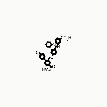 CNC(=O)c1ccc(-c2ccc(Cl)cc2)c(COc2ccc(-c3nc4cc(C(=O)O)ccc4n3C3CCCCC3)cc2)c1